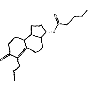 CCCCC(=O)O[C@H]1CCC2C3CCC(=O)C(CCC)=C3CCC21